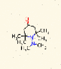 CN(C)N1C(C)(C)CC(=O)CC1(C)C